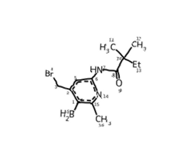 Bc1c(CBr)cc(NC(=O)C(C)(C)CC)nc1C